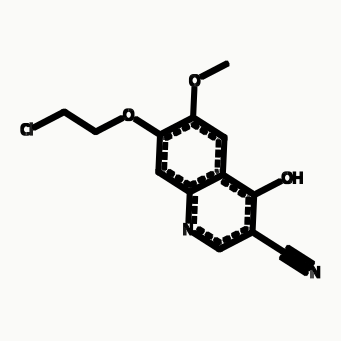 COc1cc2c(O)c(C#N)cnc2cc1OCCCl